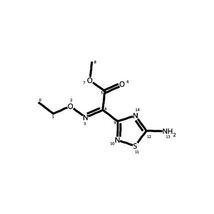 CCON=C(C(=O)OC)c1nsc(N)n1